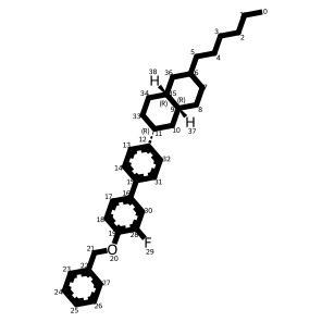 CCCCCCC1CC[C@@H]2C[C@H](c3ccc(-c4ccc(OCc5ccccc5)c(F)c4)cc3)CC[C@@H]2C1